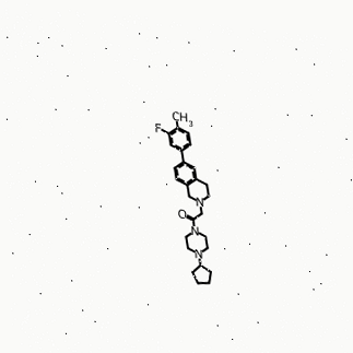 Cc1ccc(-c2ccc3c(c2)CCN(CC(=O)N2CCN(C4CCCC4)CC2)C3)cc1F